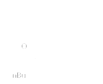 CCCCC(=O)Cc1ccccc1